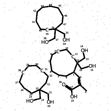 CC(=CC1CCCCCCCCC1(CO)CO)C(=O)O.OCC1(CO)CCCCCCCCC1.OCC1(CO)CCCCCCCCC1